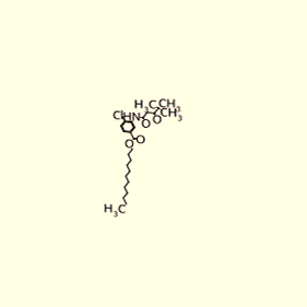 CCCCCCCCCCCCOC(=O)c1ccc(Cl)c(NC(=O)CC(=O)C(C)(C)C)c1